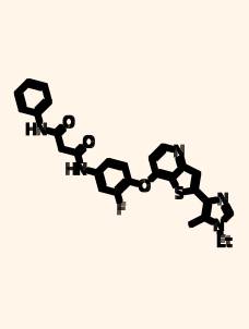 CCn1cnc(-c2cc3nccc(Oc4ccc(NC(=O)CC(=O)Nc5ccccc5)cc4F)c3s2)c1C